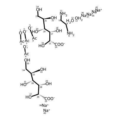 CC(=O)[O-].CC(=O)[O-].CC(=O)[O-].CC(=O)[O-].NCCN.O.O.O=C([O-])[C@H](O)[C@@H](O)[C@H](O)[C@H](O)CO.O=C([O-])[C@H](O)[C@@H](O)[C@H](O)[C@H](O)CO.[Na+].[Na+].[Na+].[Na+].[Na+].[Na+]